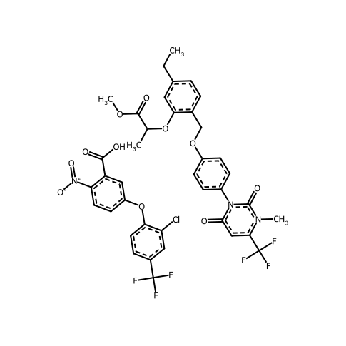 CCc1ccc(COc2ccc(-n3c(=O)cc(C(F)(F)F)n(C)c3=O)cc2)c(OC(C)C(=O)OC)c1.O=C(O)c1cc(Oc2ccc(C(F)(F)F)cc2Cl)ccc1[N+](=O)[O-]